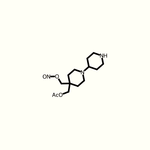 CC(=O)OCC1(CON=O)CCN(C2CCNCC2)CC1